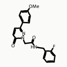 COc1ccc(-c2ccc(=O)n(CC(=O)NCc3ccccc3F)n2)cc1